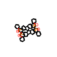 O=P(C1=CC=CCC1)(c1ccccc1)c1ccc2c(c1)C1(c3cc(P(=O)(c4ccccc4)c4ccccc4)ccc3-2)c2cc(P(=O)(c3ccccc3)c3ccccc3)ccc2-c2ccc(P(=O)(c3ccccc3)c3ccccc3)cc21